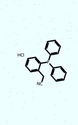 Cl.N#CCc1ccccc1P(c1ccccc1)c1ccccc1